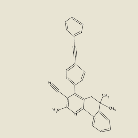 CC1(C)Cc2c(nc(N)c(C#N)c2-c2ccc(C#Cc3ccccc3)cc2)-c2ccccc21